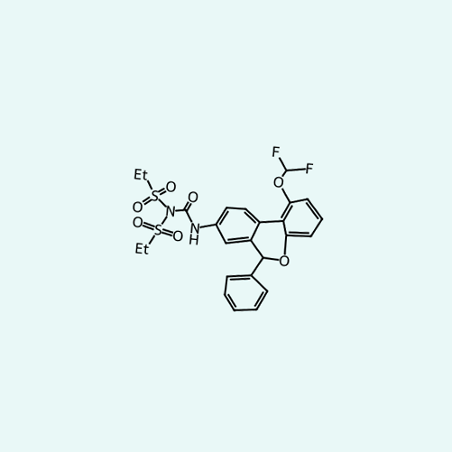 CCS(=O)(=O)N(C(=O)Nc1ccc2c(c1)C(c1ccccc1)Oc1cccc(OC(F)F)c1-2)S(=O)(=O)CC